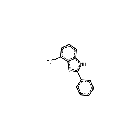 [CH2]c1cccc2[nH]c(-c3ccccc3)nc12